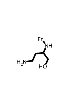 CCNC(CO)CCN